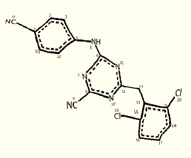 N#Cc1ccc(Nc2nc(C#N)nc(Cc3c(Cl)cccc3Cl)n2)cc1